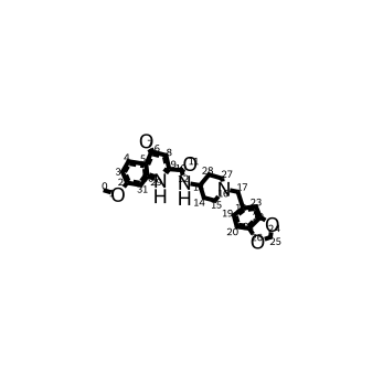 COc1ccc2c(=O)cc(C(=O)NC3CCN(Cc4ccc5c(c4)OCO5)CC3)[nH]c2c1